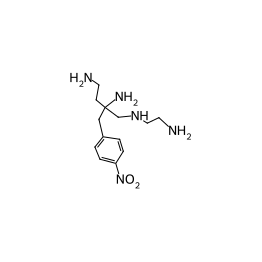 NCCNCC(N)(CCN)Cc1ccc([N+](=O)[O-])cc1